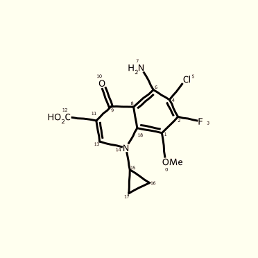 COc1c(F)c(Cl)c(N)c2c(=O)c(C(=O)O)cn(C3CC3)c12